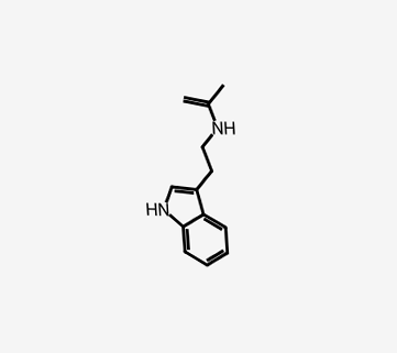 C=C(C)NCCc1c[nH]c2ccccc12